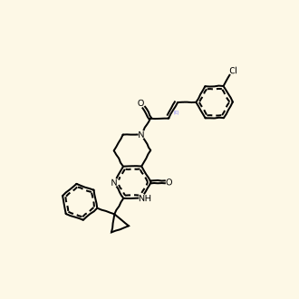 O=C(/C=C/c1cccc(Cl)c1)N1CCc2nc(C3(c4ccccc4)CC3)[nH]c(=O)c2C1